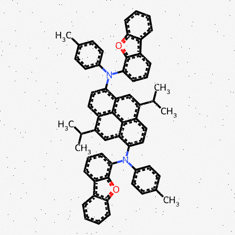 Cc1ccc(N(c2ccc3c(C(C)C)cc4c(N(c5ccc(C)cc5)c5cccc6c5oc5ccccc56)ccc5c(C(C)C)cc2c3c54)c2cccc3c2oc2ccccc23)cc1